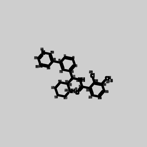 O=C(NC(c1cccc(-c2cncnc2)c1)[C@@H]1CCCCN1)c1cccc(C(F)(F)F)c1Cl